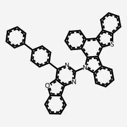 c1ccc(-c2ccc(-c3nc(-n4c5ccccc5c5c6sc7ccccc7c6c6ccccc6c54)nc4c3oc3ccccc34)cc2)cc1